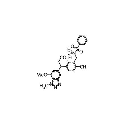 CCOC(=O)CC(c1ccc(C)c(CN(C)S(=O)(=O)c2ccccc2)c1)c1cc(OC)c2c(c1)nnn2C